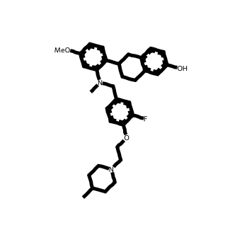 COc1ccc(C2CCc3cc(O)ccc3C2)c(N(C)Cc2ccc(OCCN3CCC(C)CC3)c(F)c2)c1